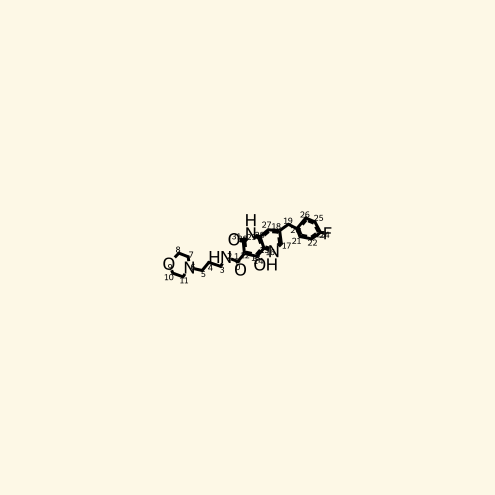 O=C(NCCCN1CCOCC1)c1c(O)c2ncc(Cc3ccc(F)cc3)cc2[nH]c1=O